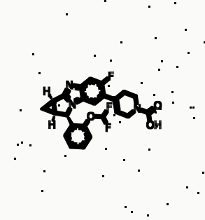 O=C(O)N1CC=C(c2cc3c(cc2F)nc2n3[C@@H](c3ccccc3OC(F)F)[C@H]3C[C@@H]23)CC1